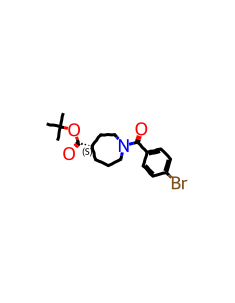 CC(C)(C)OC(=O)[C@H]1CCCN(C(=O)c2ccc(Br)cc2)CC1